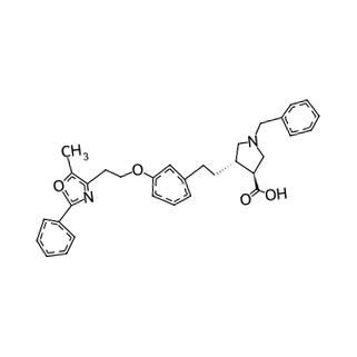 Cc1oc(-c2ccccc2)nc1CCOc1cccc(CC[C@@H]2CN(Cc3ccccc3)C[C@H]2C(=O)O)c1